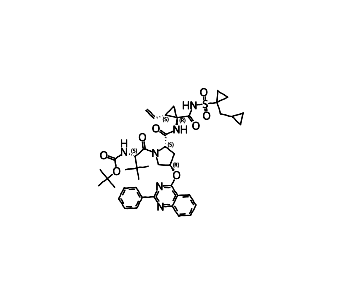 C=C[C@@H]1C[C@]1(NC(=O)[C@@H]1C[C@@H](Oc2nc(-c3ccccc3)nc3ccccc23)CN1C(=O)[C@@H](NC(=O)OC(C)(C)C)C(C)(C)C)C(=O)NS(=O)(=O)C1(CC2CC2)CC1